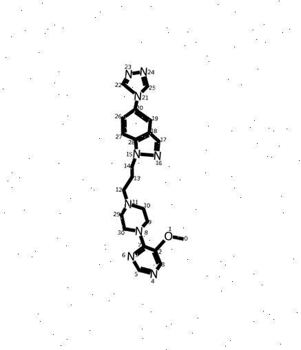 COc1cncnc1N1CCN(CCCn2ncc3cc(-n4cnnc4)ccc32)CC1